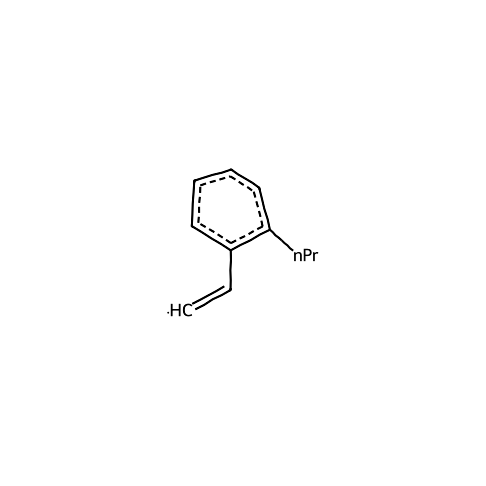 [CH]=Cc1ccccc1CCC